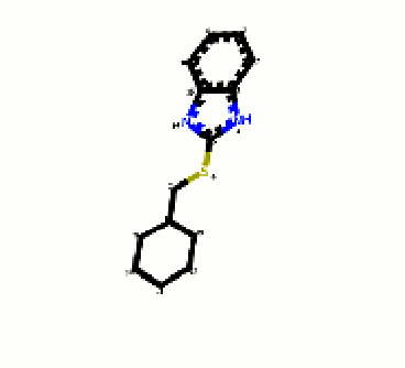 c1ccc2[nH]c(SCC3CCCCC3)nc2c1